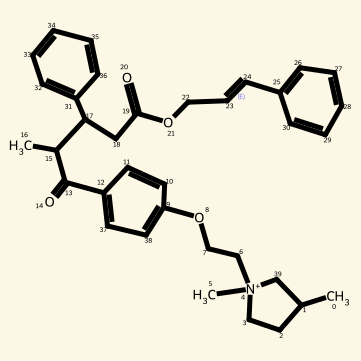 CC1CC[N+](C)(CCOc2ccc(C(=O)C(C)C(CC(=O)OC/C=C/c3ccccc3)c3ccccc3)cc2)C1